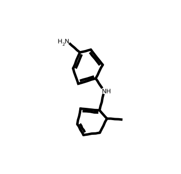 CC1CC=CC=C1Nc1ccc(N)cc1